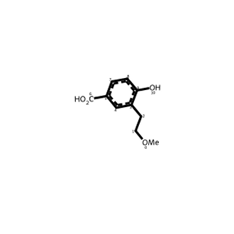 COCCc1cc(C(=O)O)ccc1O